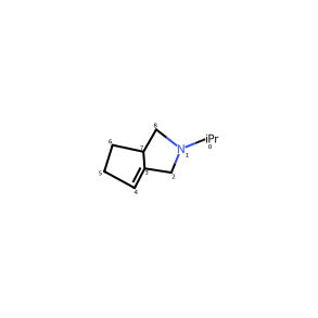 CC(C)N1CC2=CCCC2C1